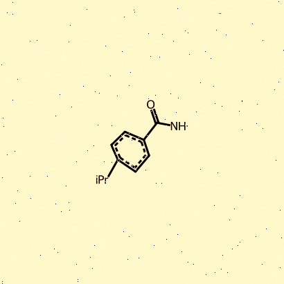 CC(C)c1ccc(C([NH])=O)cc1